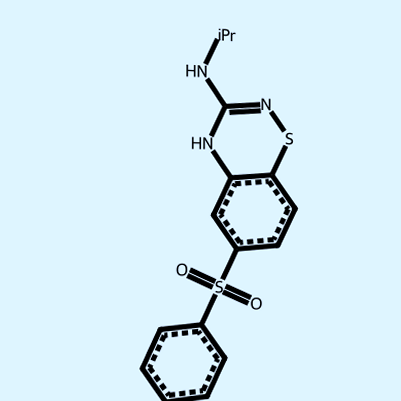 CC(C)NC1=NSc2ccc(S(=O)(=O)c3ccccc3)cc2N1